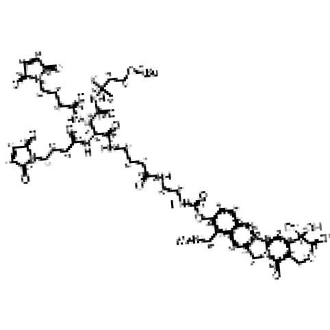 CC[C@@]1(O)C(=O)OCc2c1cc1n(c2=O)Cc2cc3c(CNC)c(OC(=O)NCCNC(=O)CCCNC(=O)[C@@H](NC(=O)CCCN4C(=O)C=CC4=O)[C@H](NC(=O)CCCN4C(=O)C=CC4=O)C(=O)NC(C)(C)CCOC(C)(C)C)ccc3nc2-1